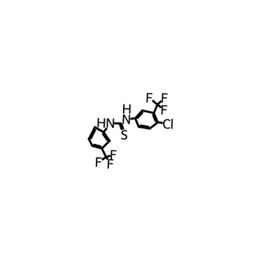 FC(F)(F)c1cccc(NC(=S)Nc2ccc(Cl)c(C(F)(F)F)c2)c1